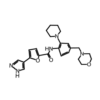 O=C(Nc1ccc(CN2CCOCC2)cc1N1CCCCC1)c1ccc(-c2cn[nH]c2)o1